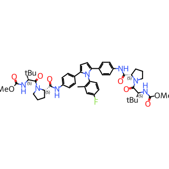 COC(=O)N[C@H](C(=O)N1CCC[C@H]1C(=O)Nc1ccc(-c2ccc(-c3ccc(NC(=O)[C@@H]4CCCN4C(=O)[C@@H](NC(=O)OC)C(C)(C)C)cc3)n2-c2ccc(F)cc2C)cc1)C(C)(C)C